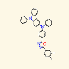 Cc1ccc(-c2nnc(-c3ccc(N(c4ccccc4)c4ccc5c(c4)c4ccccc4n5-c4ccccc4)cc3)o2)cc1C